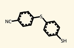 N#Cc1ccc(Sc2ccc(S)cc2)cc1